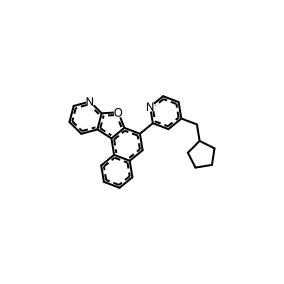 c1ccc2c(c1)cc(-c1cc(CC3CCCC3)ccn1)c1oc3ncccc3c12